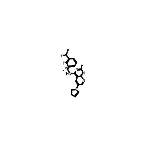 Cc1nc(N[C@H](C)c2cccc(C(F)F)c2F)c2cc(N3C=CCC3)cnc2n1